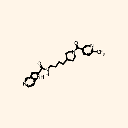 O=C(NCCCCC1CCN(C(=O)c2ccc(C(F)(F)F)nc2)CC1)c1cc2cnccc2[nH]1